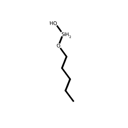 CCCCCO[SiH2]O